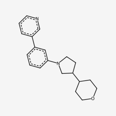 c1cncc(-c2cccc(N3CCC(C4CCOCC4)C3)c2)c1